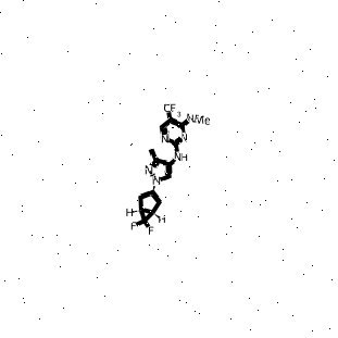 CNc1nc(Nc2cn([C@@H]3C[C@@H]4[C@H](C3)C4(F)F)nc2C)ncc1C(F)(F)F